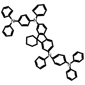 c1ccc(N(c2ccccc2)c2ccc(N(c3ccccc3)c3ccc4c(c3)C3(CCCCC3)c3cc(N(c5ccccc5)c5ccc(N(c6ccccc6)c6ccccc6)cc5)ccc3-4)cc2)cc1